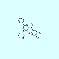 CC(OC1CCCOC1)C1C(c2ccc(Cl)c(Cl)c2)CCCN1C(=O)c1ccccc1